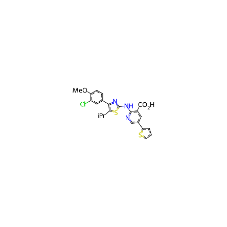 COc1ccc(-c2nc(Nc3ncc(-c4cccs4)cc3C(=O)O)sc2C(C)C)cc1Cl